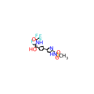 CS(=O)(=O)NCc1ccc(-c2ccc([C@H](O)[C@@H](CF)NC(=O)C(F)(F)F)cc2)cn1